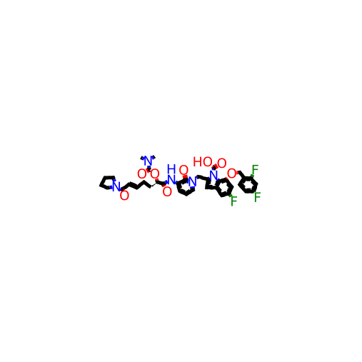 CN(C)C(=O)O[C@@H](CC/C=C/C(=O)N1CCCC1)C(=O)Nc1cccn(Cc2cc3cc(F)cc(OCc4ccc(F)cc4F)c3n2C(=O)O)c1=O